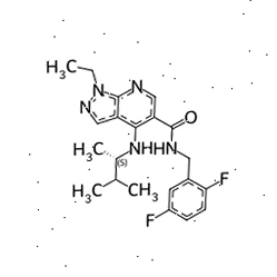 CCn1ncc2c(N[C@@H](C)C(C)C)c(C(=O)NCc3cc(F)ccc3F)cnc21